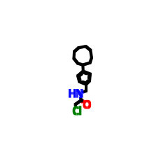 O=C(CCl)NCc1ccc(C2CCCCCCCC2)cc1